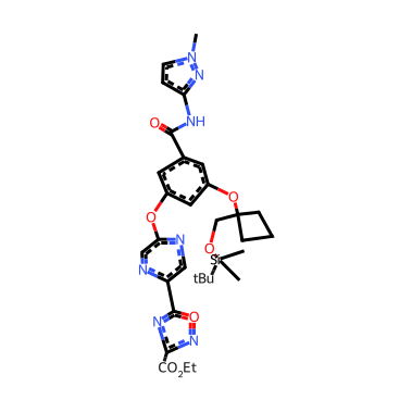 CCOC(=O)c1noc(-c2cnc(Oc3cc(OC4(CO[Si](C)(C)C(C)(C)C)CCC4)cc(C(=O)Nc4ccn(C)n4)c3)cn2)n1